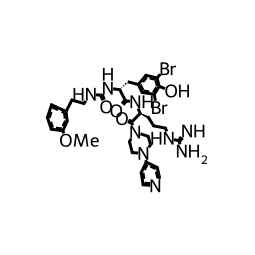 COc1cccc(CCNC(=O)N[C@H](Cc2cc(Br)c(O)c(Br)c2)C(=O)N[C@@H](CCCNC(=N)N)C(=O)N2CCN(c3ccncc3)CC2)c1